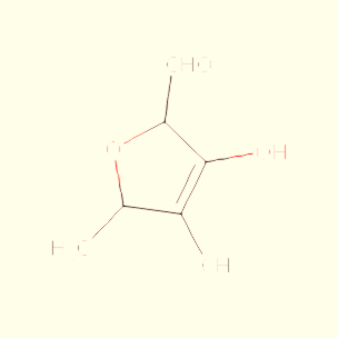 CC1=C(O)C(C=O)OC1C